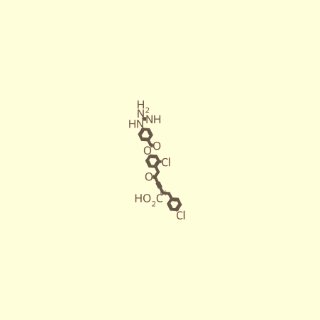 N=C(N)Nc1ccc(C(=O)Oc2ccc(CC(=O)C#C[C@@H](Cc3ccc(Cl)cc3)C(=O)O)c(Cl)c2)cc1